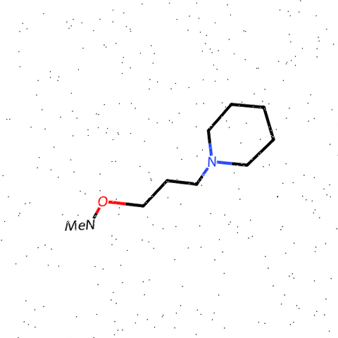 CNOCCCN1CCCCC1